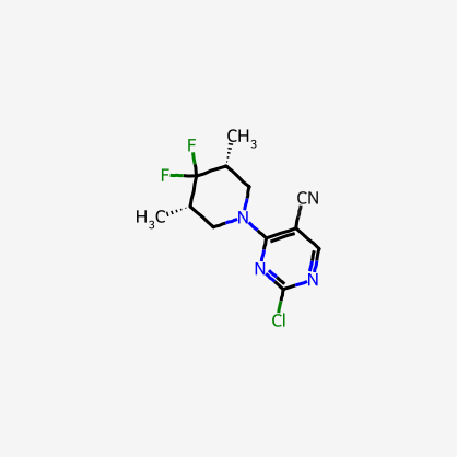 C[C@@H]1CN(c2nc(Cl)ncc2C#N)C[C@H](C)C1(F)F